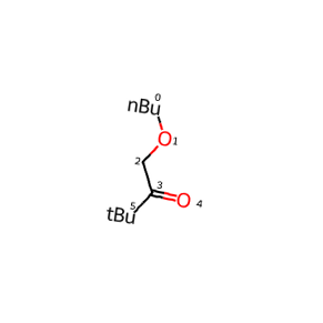 CCCCOCC(=O)C(C)(C)C